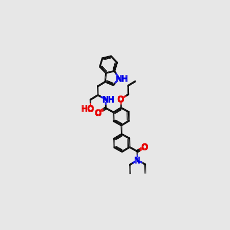 CCCOc1ccc(-c2cccc(C(=O)N(CC)CC)c2)cc1C(=O)NC(CO)Cc1c[nH]c2ccccc12